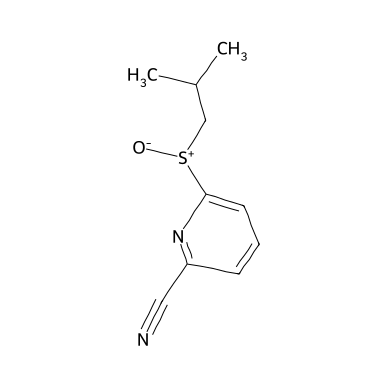 CC(C)C[S+]([O-])c1cccc(C#N)n1